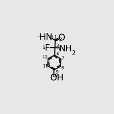 [NH]C(=O)C(N)(F)c1ccc(O)cc1